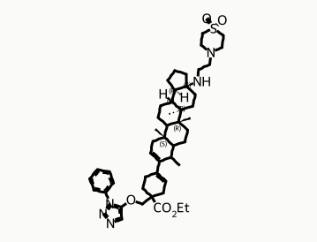 CCOC(=O)C1(COc2cnnn2-c2ccccc2)CC=C(C2=CC[C@@]3(C)C(CC[C@]4(C)C3CC[C@@H]3[C@H]5CCC[C@]5(NCCN5CCS(=O)(=O)CC5)CC[C@]34C)C2C)CC1